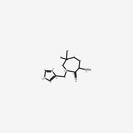 CNC1CCC(C)(C)CN(Cc2cocn2)C1=O